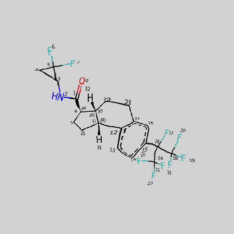 O=C(NC1CC1(F)F)[C@@H]1CC[C@H]2c3ccc(C(F)(C(F)(F)F)C(F)(F)F)cc3CC[C@@H]12